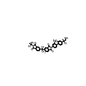 CCCC(C)(CC)N1C(=O)c2ccc(C(c3ccc4c(c3)C(=O)N(c3ccc(-c5ccc(C(C)(C=N)CC)cc5C(F)(F)F)c(C(F)(F)F)c3)C4=O)(C(F)(F)F)C(F)(F)F)cc2C1=O